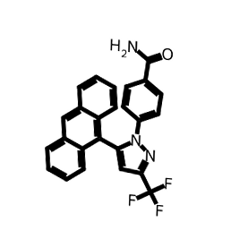 NC(=O)c1ccc(-n2nc(C(F)(F)F)cc2-c2c3ccccc3cc3ccccc23)cc1